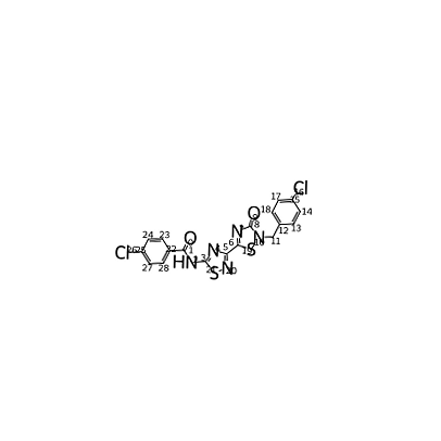 O=C(Nc1nc(-c2nc(=O)n(Cc3ccc(Cl)cc3)s2)ns1)c1ccc(Cl)cc1